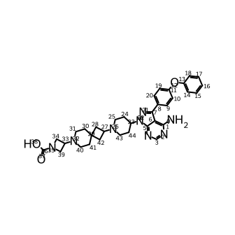 Nc1ncnc2c1c(-c1ccc(Oc3ccccc3)cc1)nn2C1CCN(C2CC3(CCN(C4CN(C(=O)O)C4)CC3)C2)CC1